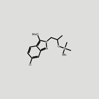 COc1c2ccc(Cl)cc2nn1CC(C)O[Si](C)(C)C(C)(C)C